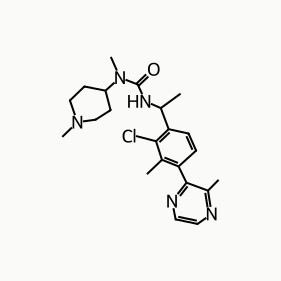 Cc1nccnc1-c1ccc(C(C)NC(=O)N(C)C2CCN(C)CC2)c(Cl)c1C